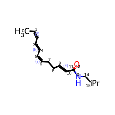 C\C=C/C=C/C=C\CC/C=C/C(=O)NCC(C)C